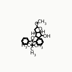 COC1C[C@@H]2[C@H](O1)C(O)C[C@H]2O[Si](c1ccccc1)(c1ccccc1)C(C)(C)C